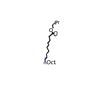 CCCCCCCC/C=C/CCCCCCCC(=O)OCCC(C)C